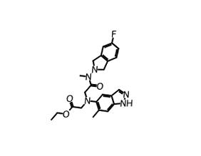 CCOC(=O)CN(CC(=O)N(C)N1Cc2ccc(F)cc2C1)c1cc2cn[nH]c2cc1C